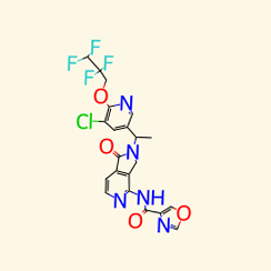 CC(c1cnc(OCC(F)(F)C(F)F)c(Cl)c1)N1Cc2c(ccnc2NC(=O)c2cocn2)C1=O